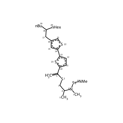 C=C(SCC(C)N(C)SNC)c1ccc(-c2cc(CC(CCCC)CCCCCC)cs2)s1